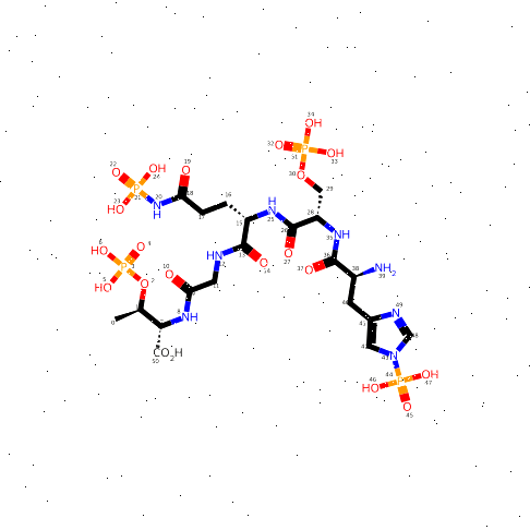 C[C@@H](OP(=O)(O)O)[C@H](NC(=O)CNC(=O)[C@H](CCC(=O)NP(=O)(O)O)NC(=O)[C@H](COP(=O)(O)O)NC(=O)[C@@H](N)Cc1cn(P(=O)(O)O)cn1)C(=O)O